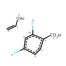 C=COC(C)=O.O=C(O)c1ccc(F)cc1F